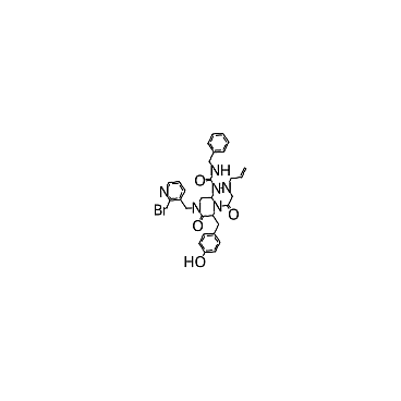 C=CCN1CC(=O)N2C(Cc3ccc(O)cc3)C(=O)N(Cc3cccnc3Br)CC2N1C(=O)NCc1ccccc1